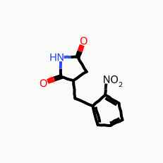 O=C1CC(Cc2ccccc2[N+](=O)[O-])C(=O)N1